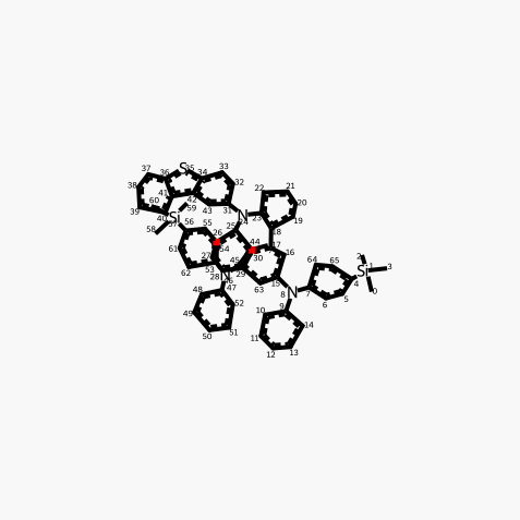 C[Si](C)(C)c1ccc(N(c2ccccc2)c2cc(-c3ccccc3N(c3ccccc3)c3ccc4sc5ccccc5c4c3)cc(N(c3ccccc3)c3ccc([Si](C)(C)C)cc3)c2)cc1